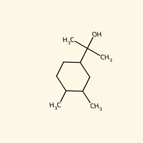 CC1CCC(C(C)(C)O)CC1C